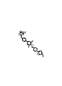 CCc1cnc(N2CCC(COc3c(F)cc(-c4ccc(Cc5nn[nH]n5)cc4)cc3F)CC2)nc1